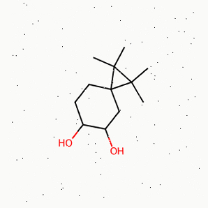 CC1(C)C(C)(C)C12CCC(O)C(O)C2